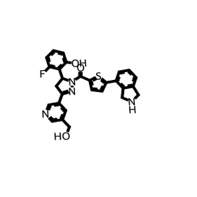 O=C(c1ccc(-c2cccc3c2CNC3)s1)N1N=C(c2cncc(CO)c2)CC1c1c(O)cccc1F